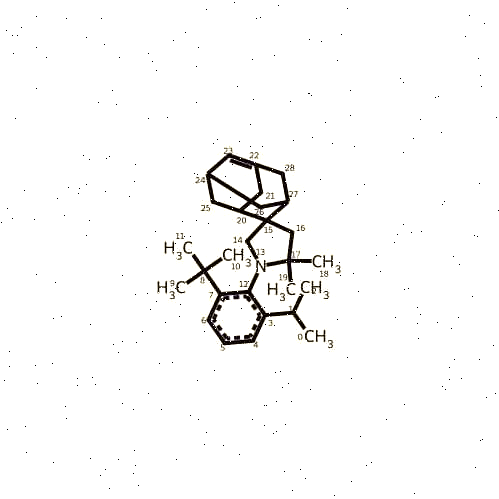 CC(C)c1cccc(C(C)(C)C)c1N1CC2(CC1(C)C)C1CC3=CC(C1)CC2C3